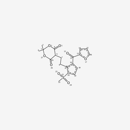 CC1(C)OC(=O)C(CCn2c(C(=O)c3ccco3)ccc2S(C)(=O)=O)C(=O)O1